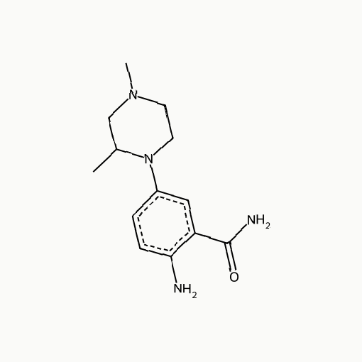 CC1CN(C)CCN1c1ccc(N)c(C(N)=O)c1